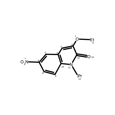 CCOc1cc2cc([N+](=O)[O-])ccc2n(C(C)C)c1=O